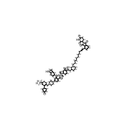 CC1(C)CCC(CN2CCN(c3ccc(C(=O)NS(=O)(=O)c4ccc(NCC5CCCN(CCCCCCCCCC#Cc6cccc7c6C(=O)N(C6CCC(=O)NC6=O)C7=O)C5)c([N+](=O)[O-])c4)c(Oc4cnc5[nH]ccc5c4)c3)CC2)=C(c2ccc(Cl)cc2)C1